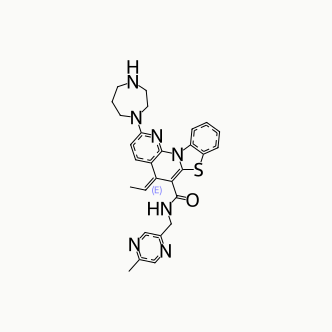 C/C=C1/C(C(=O)NCc2cnc(C)cn2)=C2Sc3ccccc3N2c2nc(N3CCCNCC3)ccc21